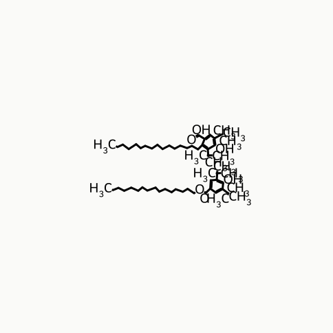 CCCCCCCCCCCCCCCCOC(=O)c1cc(C(C)(C)C)c(O)c(C(C)(C)C)c1.CCCCCCCCCCCCCCCCc1c(C(=O)O)cc(C(C)(C)C)c(O)c1C(C)(C)C